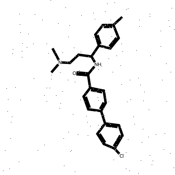 Cc1ccc(C(CCN(C)C)NC(=O)c2ccc(-c3ccc(Cl)cc3)cc2)cc1